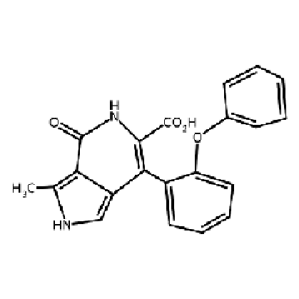 Cc1[nH]cc2c(-c3ccccc3Oc3ccccc3)c(C(=O)O)[nH]c(=O)c12